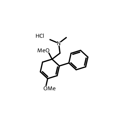 COC1=CCC(CN(C)C)(OC)C(c2ccccc2)=C1.Cl